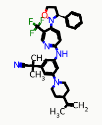 C=C(C)C1CCN(c2cc(NC3=NC=C(C(F)(F)F)C(N4OCC[C@H]4c4ccccc4)=C=C3)cc(C(C)(C)C#N)c2)CC1